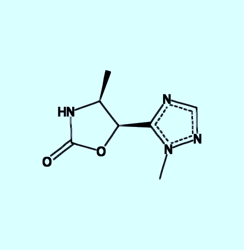 C[C@@H]1NC(=O)O[C@@H]1c1ncnn1C